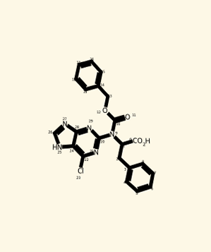 O=C(O)C(Cc1ccccc1)N(C(=O)OCc1ccccc1)c1nc(Cl)c2[nH]cnc2n1